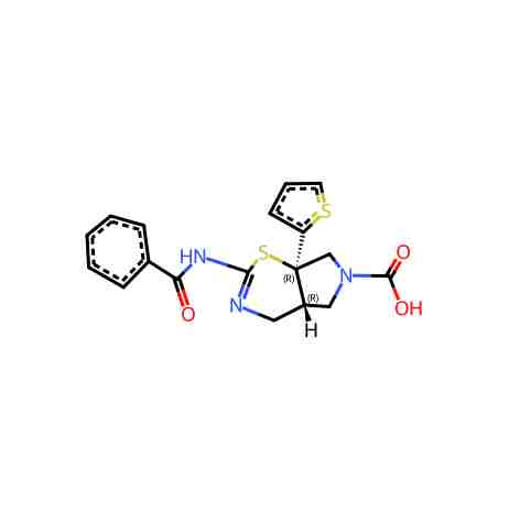 O=C(NC1=NC[C@H]2CN(C(=O)O)C[C@]2(c2cccs2)S1)c1ccccc1